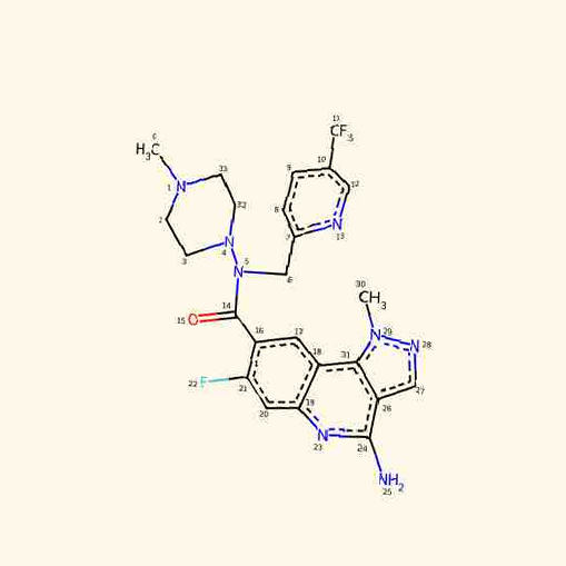 CN1CCN(N(Cc2ccc(C(F)(F)F)cn2)C(=O)c2cc3c(cc2F)nc(N)c2cnn(C)c23)CC1